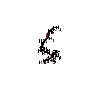 CCN(CC)c1ccc2nc3ccc(/N=N/c4ccc(N(C)CCCC(=O)NCCN5CCN(c6ccc(C(=O)NC7(C(=O)NCC(=O)NCCNC(=O)CCCCCN8\C(=C/C=C/C=C/C9=[N+](CC)c%10ccc(S(=O)(=O)O)cc%10C9(C)C)C(C)(C)c9cc(S(=O)(=O)O)ccc98)CCCCC7)cc6)CC5)cc4)cc3[n+](-c3ccccc3)c2c1